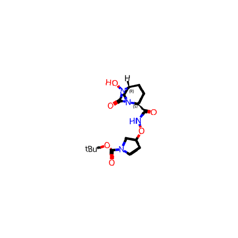 CC(C)(C)OC(=O)N1CCC(ONC(=O)[C@@H]2CC[C@@H]3CN2C(=O)N3O)C1